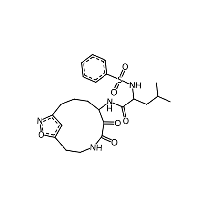 CC(C)CC(NS(=O)(=O)c1ccccc1)C(=O)NC1CCCc2cc(on2)CCNC(=O)C1=O